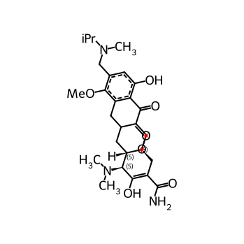 COc1c(CN(C)C(C)C)cc(O)c2c1CC1C[C@H]3[C@H](N(C)C)C(O)=C(C(N)=O)C[C@]34OOC4=C1C2=O